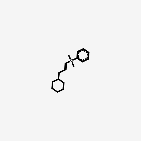 C[Si](C)(C=CCC1CCCCC1)c1ccccc1